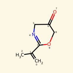 C=C(C)C1=NCC(=O)CO1